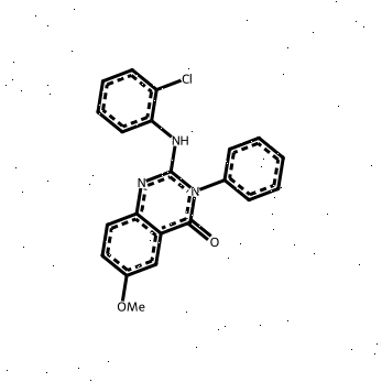 COc1ccc2nc(Nc3ccccc3Cl)n(-c3ccccc3)c(=O)c2c1